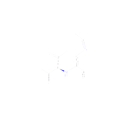 C=C/C(=C\N=C/C)N[C@H](C(=O)I)C(C)C